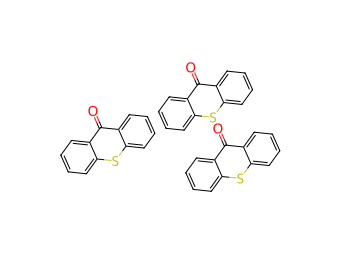 O=c1c2ccccc2sc2ccccc12.O=c1c2ccccc2sc2ccccc12.O=c1c2ccccc2sc2ccccc12